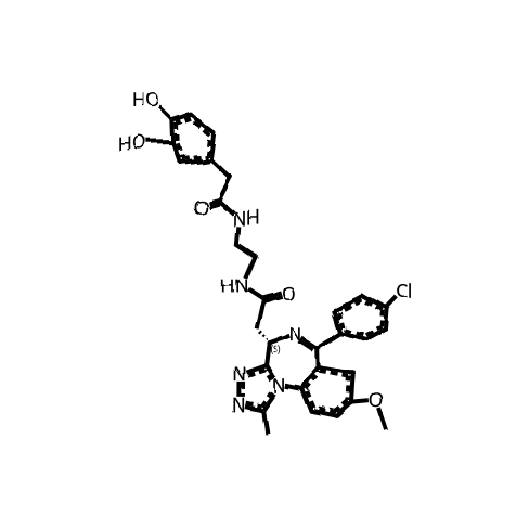 COc1ccc2c(c1)C(c1ccc(Cl)cc1)=N[C@@H](CC(=O)NCCNC(=O)Cc1ccc(O)c(O)c1)c1nnc(C)n1-2